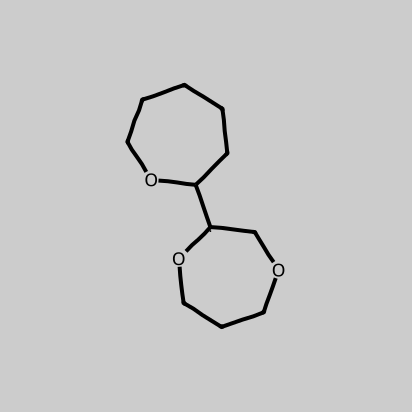 C1CCOC([C]2COCCCO2)CC1